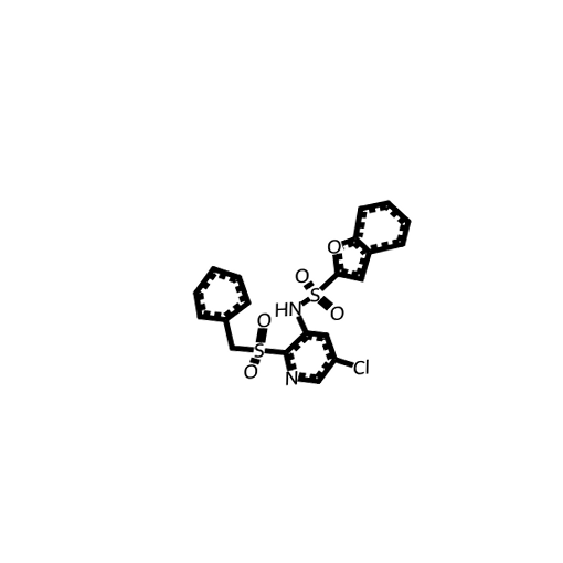 O=S(=O)(Cc1ccccc1)c1ncc(Cl)cc1NS(=O)(=O)c1cc2ccccc2o1